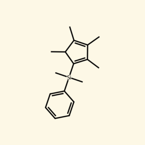 CC1=C(C)C(C)C([Si](C)(C)c2ccccc2)=C1C